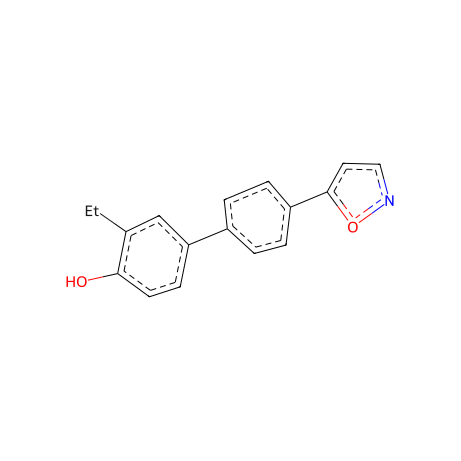 CCc1cc(-c2ccc(-c3ccno3)cc2)ccc1O